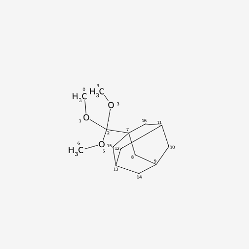 COC(OC)(OC)C12CC3CC(CC(C3)C1)C2